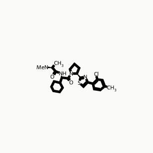 CN[C@@H](C)C(=O)N[C@H](C(=O)N1CCC[C@H]1c1nc(-c2ccc(C)cc2Cl)cs1)C1CCCCC1